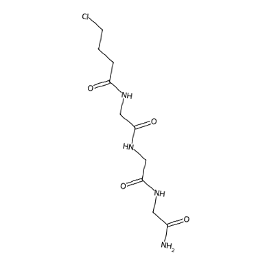 NC(=O)CNC(=O)CNC(=O)CNC(=O)CCCCl